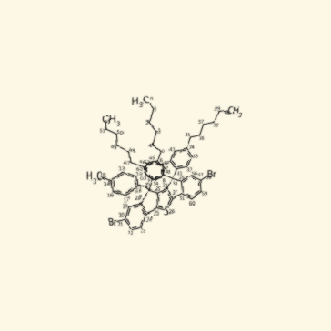 CCCCCCc1ccc(C2(c3ccc(C)cc3)c3cc(Br)ccc3-c3sc4c(c32)C(c2ccc(CCCCCC)cc2)(c2ccc(CCCCCC)cc2)c2cc(Br)ccc2-4)cc1